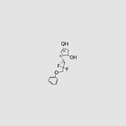 OC1C[C@@H](O)C[C@H]1/C=C/C(F)(F)COc1ccccc1